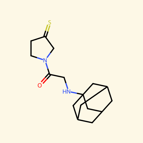 O=C(CNC12CC3CC(CC(C3)C1)C2)N1CCC(=S)C1